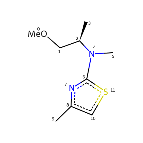 COC[C@@H](C)N(C)c1nc(C)cs1